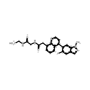 Cn1ncc2cc(F)c(-c3ccnc4c(CC(=O)NCC(=O)NCC(=O)O)cccc34)cc21